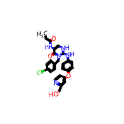 CCC(=O)NC1=CNC(Nc2ccc(Oc3ccnc(CO)c3)cc2)N(Cc2ccc(Cl)cc2)C1=O